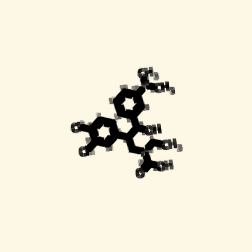 CCN(CC(c1ccc(Cl)c(Cl)c1)C(O)c1cccc(N(C)C)c1)C(=O)O